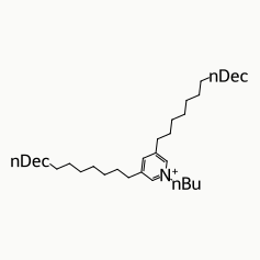 CCCCCCCCCCCCCCCCCc1cc(CCCCCCCCCCCCCCCCC)c[n+](CCCC)c1